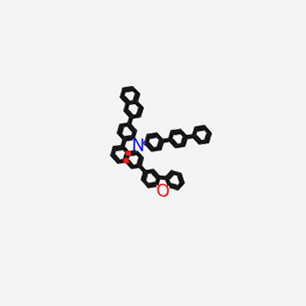 c1ccc(-c2ccc(-c3ccc(N(c4cccc(-c5ccc6oc7ccccc7c6c5)c4)c4cc(-c5ccc6ccccc6c5)ccc4-c4ccccc4)cc3)cc2)cc1